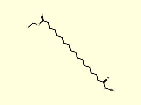 CC(C)(C)OC(=O)CCCCCCCCCCCCCCCCC(=O)OCCl